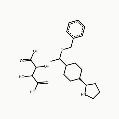 CC(OCc1ccccc1)C1CCC([C@H]2CCCN2)CC1.O=C(O)C(O)C(O)C(=O)O